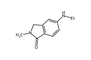 CCNc1ccc2c(c1)CN(C)C2=O